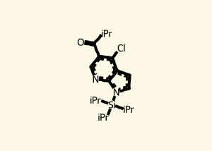 CC(C)C(=O)c1cnc2c(ccn2[Si](C(C)C)(C(C)C)C(C)C)c1Cl